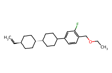 C=C[C@H]1CC[C@H](C2CCC(c3ccc(COCC)c(F)c3)CC2)CC1